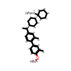 CCCCCC1([C@H]2CC[C@H](C(C)c3ccc(-c4ccc(OCCCC)c(C)c4)c(C)c3)CC2)CCCCC1